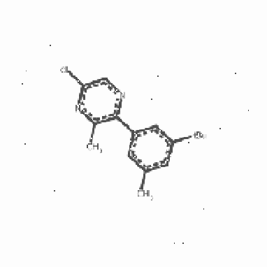 Cc1cc(-c2ncc(Cl)nc2C)cc(C(C)(C)C)c1